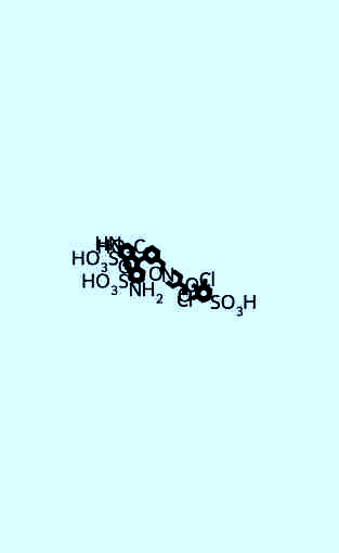 N=c1ccc2c(-c3cc(CC(=O)N4CCC(C(=O)Oc5c(Cl)cc(S(=O)(=O)O)cc5Cl)CC4)ccc3C(=O)O)c3ccc(N)c(S(=O)(=O)O)c3oc-2c1S(=O)(=O)O